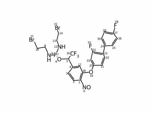 O=Nc1ccc(C(OP(NCCBr)NCCBr)C(F)(F)F)cc1Oc1ccc(-c2ccc(F)cc2)c(F)c1